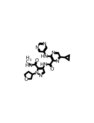 CNC(=O)c1c(NC(=O)c2nc(C3CC3)cnc2Nc2cncnc2)cnn1C1CCOC1